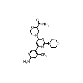 NC(=O)C1CN(c2cc(-c3cnc(N)cc3C(F)(F)F)nc(N3CCOCC3)n2)CCO1